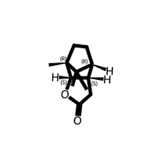 CC1(C)[C@@H]2CC[C@@]1(C)[C@H]1OC(=O)C[C@@H]21